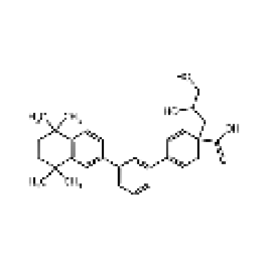 CC1(C)CCC(C)(C)c2cc(-c3cccc(C4=CCC(CC(O)CO)(C(=O)O)C=C4)c3)ccc21